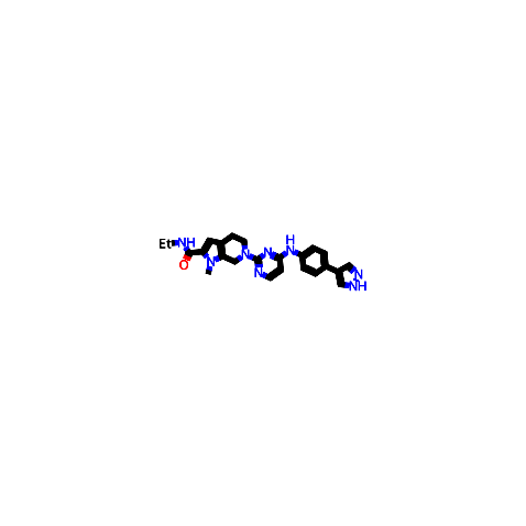 CCNC(=O)c1cc2c(n1C)CN(c1nccc(Nc3ccc(-c4cn[nH]c4)cc3)n1)CC2